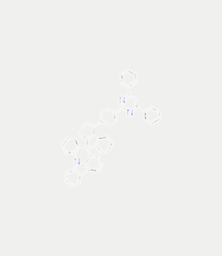 c1ccc(-c2cc(-c3ccccc3)nc(-c3ccc(-c4cccc(C5(c6ccccc6)c6ccccc6-n6c7ccccc7c7cccc5c76)c4)cc3)n2)cc1